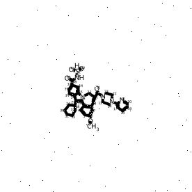 COc1ccc2c(c1)C=C(C(=O)N1CCN(c3ccccn3)CC1)Cn1c-2c(C2CCCCC2)c2ccc(C(=O)N[SH](=O)=O)cc21